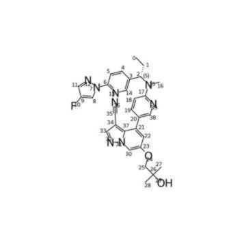 CC[C@@H](c1ccc(-n2cc(F)cn2)nc1)N(C)c1ccc(-c2cc(OCC(C)(C)O)cn3ncc(C#N)c23)cn1